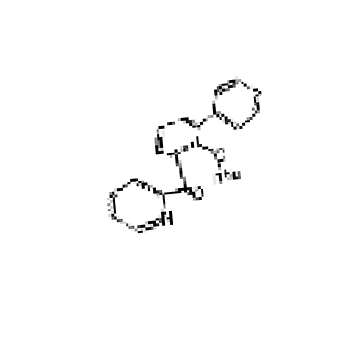 CCCCOc1c(C(=O)c2ccccn2)cccc1-c1ccccc1